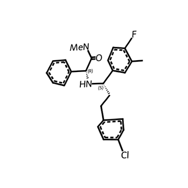 CNC(=O)[C@H](N[C@@H](CCc1ccc(Cl)cc1)c1ccc(F)c(C)c1)c1ccccc1